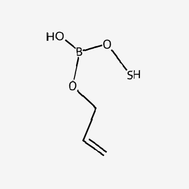 C=CCOB(O)OS